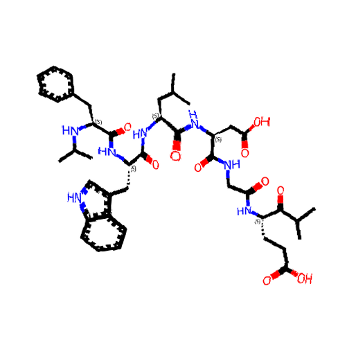 CC(C)C[C@H](NC(=O)[C@H](Cc1c[nH]c2ccccc12)NC(=O)[C@H](Cc1ccccc1)NC(C)C)C(=O)N[C@@H](CC(=O)O)C(=O)NCC(=O)N[C@@H](CCC(=O)O)C(=O)C(C)C